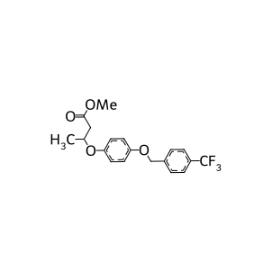 COC(=O)CC(C)Oc1ccc(OCc2ccc(C(F)(F)F)cc2)cc1